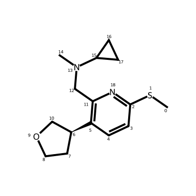 CSc1ccc([C@H]2CCOC2)c(CN(C)C2CC2)n1